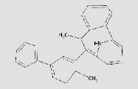 CC1CC=C(c2ccccc2)C=C1C1=C2C=CC=C(N2)c2ccccc2C1C